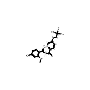 COc1cc(Cl)ccc1C(=O)NC(C)c1ccc(OCC(F)(F)F)cn1